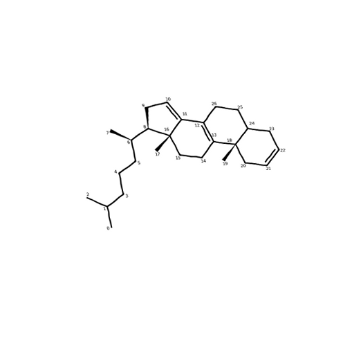 CC(C)CCC[C@@H](C)[C@H]1CC=C2C3=C(CC[C@@]21C)[C@@]1(C)CC=CCC1CC3